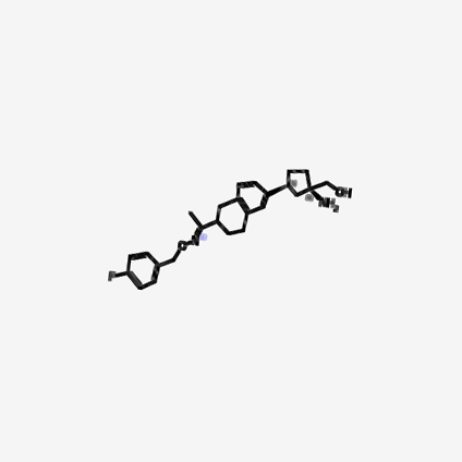 C/C(=N\OCc1ccc(F)cc1)C1CCc2cc([C@H]3CC[C@](N)(CO)C3)ccc2C1